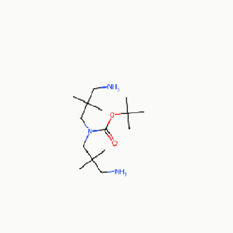 CC(C)(CN)CN(CC(C)(C)CN)C(=O)OC(C)(C)C